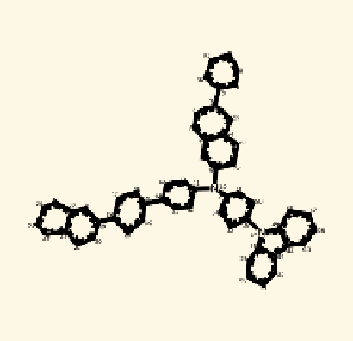 c1ccc(-c2ccc3cc(N(c4ccc(-c5ccc(-c6ccc7ccccc7c6)cc5)cc4)c4ccc(-n5c6ccccc6c6ccccc65)cc4)ccc3c2)cc1